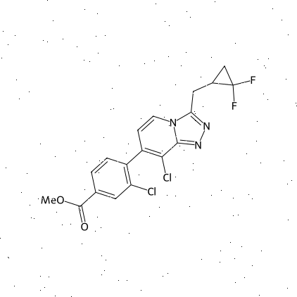 COC(=O)c1ccc(-c2ccn3c(CC4CC4(F)F)nnc3c2Cl)c(Cl)c1